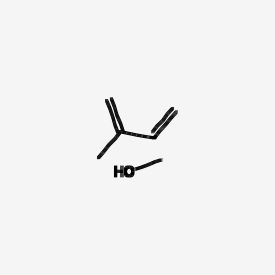 C=CC(=C)C.CO